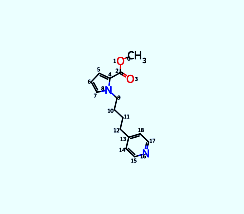 COC(=O)c1cccn1CCCCc1ccncc1